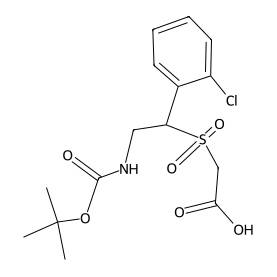 CC(C)(C)OC(=O)NCC(c1ccccc1Cl)S(=O)(=O)CC(=O)O